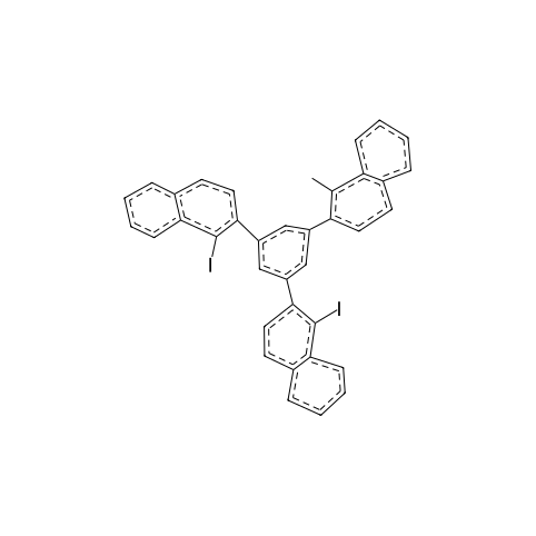 Cc1c(-c2cc(-c3ccc4ccccc4c3I)cc(-c3ccc4ccccc4c3I)c2)ccc2ccccc12